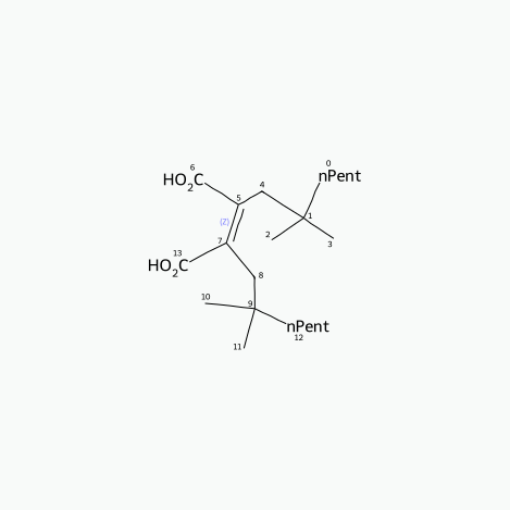 CCCCCC(C)(C)C/C(C(=O)O)=C(\CC(C)(C)CCCCC)C(=O)O